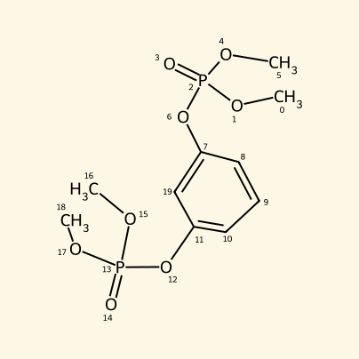 COP(=O)(OC)Oc1cccc(OP(=O)(OC)OC)c1